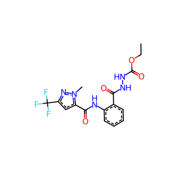 CCOC(=O)NNC(=O)c1ccccc1NC(=O)c1cc(C(F)(F)F)nn1C